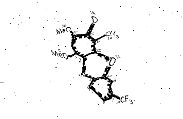 COc1c2nc3ccc(C(F)(F)F)cc3oc-2c(C)c(=O)c1OC